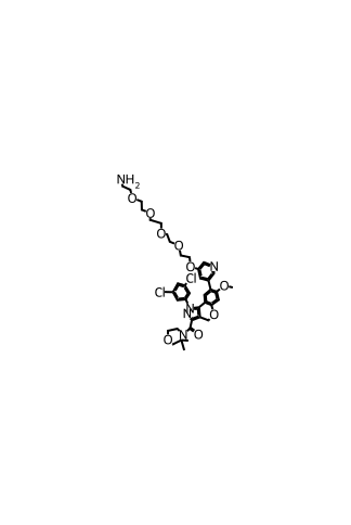 COc1cc2c(cc1-c1cncc(OCCOCCOCCOCCOCCN)c1)-c1c(c(C(=O)N3CCOCC3(C)C)nn1-c1cc(Cl)cc(Cl)c1)CO2